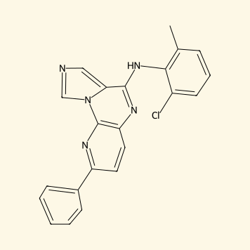 Cc1cccc(Cl)c1Nc1nc2ccc(-c3ccccc3)nc2n2cncc12